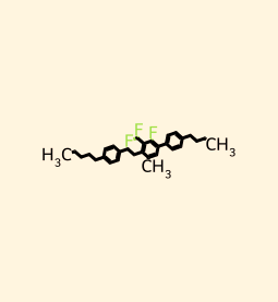 CCCCCc1ccc(CCc2c(C)cc(-c3ccc(CCCC)cc3)c(F)c2C(F)F)cc1